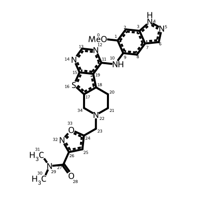 COc1cc2[nH]ncc2cc1Nc1ncnc2sc3c(c12)CCN(Cc1cc(C(=O)N(C)C)no1)C3